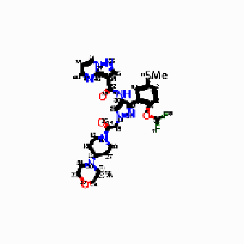 CSc1ccc(OC(F)F)c(-c2nn(CC(=O)N3CCC(N4CCOC[C@H]4C)CC3)cc2NC(=O)c2cnn3cccnc23)c1